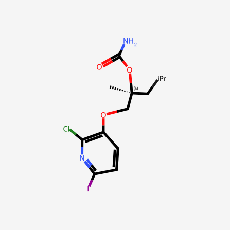 CC(C)C[C@@](C)(COc1ccc(I)nc1Cl)OC(N)=O